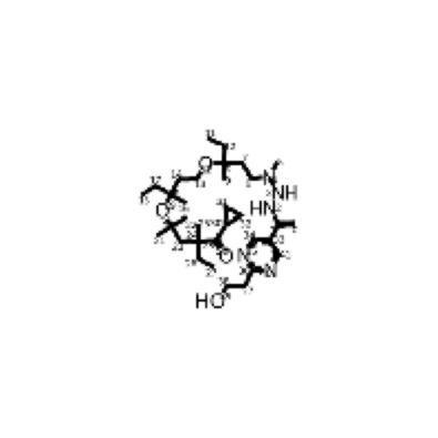 C=C(NNN(C)CCC(C)(CC)OCCC(C)(CC)OC(C)(C)CC(C)(CC)C(=O)C1CC1)c1cnc(CCO)nc1